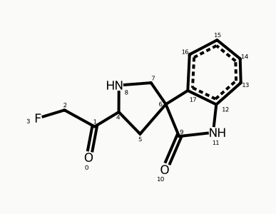 O=C(CF)C1CC2(CN1)C(=O)Nc1ccccc12